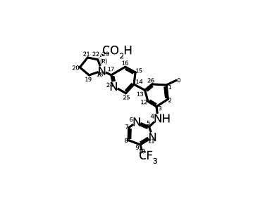 Cc1cc(Nc2nccc(C(F)(F)F)n2)cc(-c2ccc(N3CCC[C@@H]3C(=O)O)nc2)c1